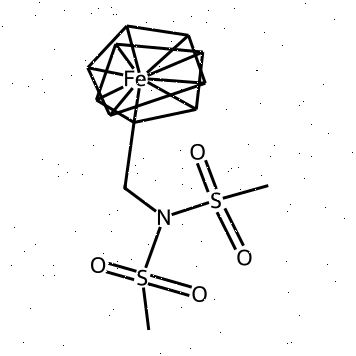 CS(=O)(=O)N(C[C]12[CH]3[CH]4[CH]5[CH]1[Fe]45321678[CH]2[CH]1[CH]6[CH]7[CH]28)S(C)(=O)=O